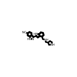 N#Cc1ccc2c(-c3cc4c(CNCC5CCNC5)cccc4[nH]3)n[nH]c2c1